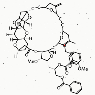 C=C1CC2CC[C@@]34CC5O[C@H]6[C@@H](O3)[C@H]3O[C@H](CC[C@@H]3O[C@H]6[C@H]5O4)CC(=O)CC3[C@H](C[C@H]4OC(CCC1O2)CC(C)=C4COC(=O)COC)O[C@H](C[C@@H](COC(=O)c1ccccc1)OC(=O)c1ccccc1)[C@@H]3OC